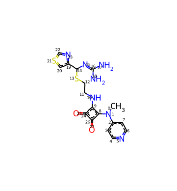 CN(c1ccncc1)c1c(NCCSC(N=C(N)N)c2cscn2)c(=O)c1=O